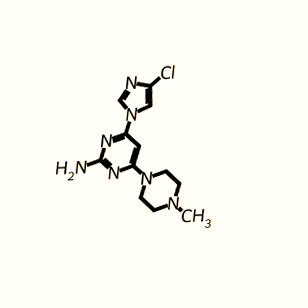 CN1CCN(c2cc(-n3cnc(Cl)c3)nc(N)n2)CC1